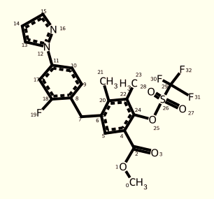 COC(=O)c1cc(Cc2ccc(-n3cccn3)cc2F)c(C)c(C)c1OS(=O)(=O)C(F)(F)F